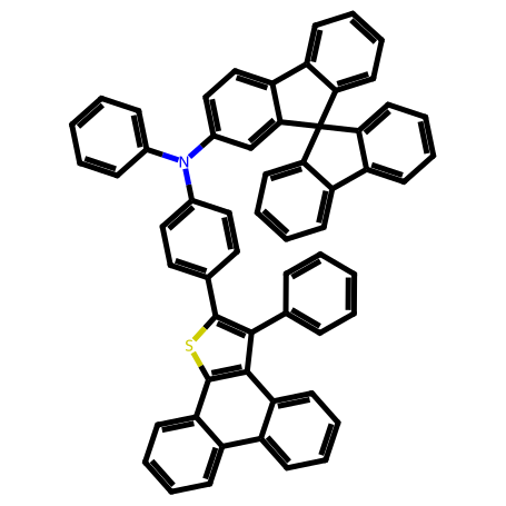 c1ccc(-c2c(-c3ccc(N(c4ccccc4)c4ccc5c(c4)C4(c6ccccc6-c6ccccc64)c4ccccc4-5)cc3)sc3c4ccccc4c4ccccc4c23)cc1